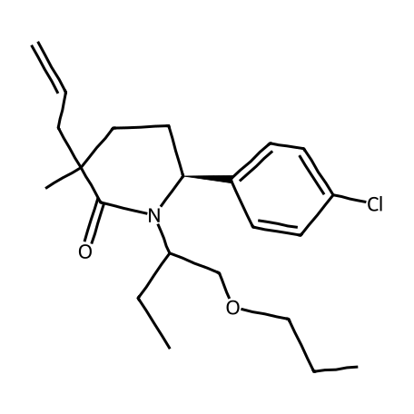 C=CCC1(C)CC[C@@H](c2ccc(Cl)cc2)N(C(CC)COCCC)C1=O